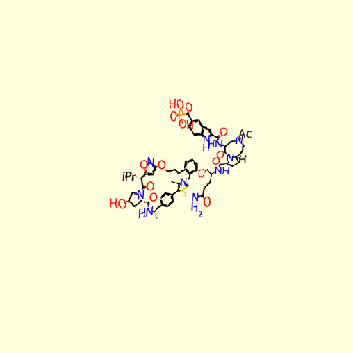 CC(=O)N1CC[C@H]2CC[C@@H](C(=O)N[C@@H](CCC(N)=O)COc3cccc(CCCOc4cc([C@H](C(=O)N5C[C@H](O)C[C@H]5C(=O)N[C@@H](C)c5ccc(-c6scnc6C)cc5)C(C)C)on4)c3C)N2C(=O)[C@@H](NC(=O)c2cc3cc(C(=O)P(=O)(O)O)ccc3[nH]2)C1